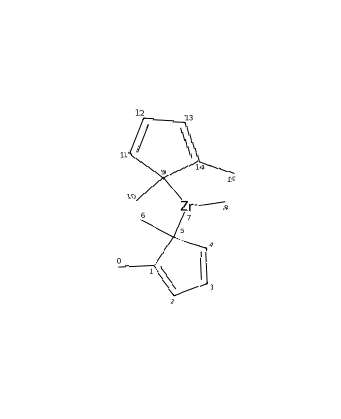 CC1=CC=C[C]1(C)[Zr]([CH3])[C]1(C)C=CC=C1C